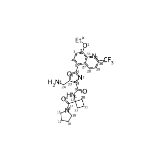 CCOc1ccc(-c2nc(C(=O)NC3(C(=O)N4CCCC4)CCC3)c(CN)o2)c2ccc(C(F)(F)F)nc12